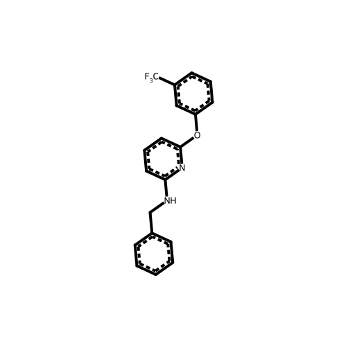 FC(F)(F)c1cccc(Oc2cccc(NCc3ccccc3)n2)c1